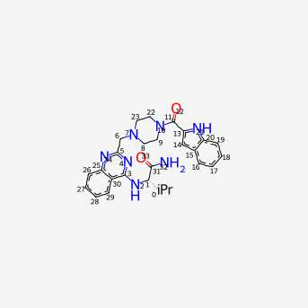 CC(C)[C@H](Nc1nc(CN2CCN(C(=O)c3cc4ccccc4[nH]3)CC2)nc2ccccc12)C(N)=O